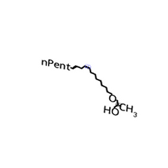 CCCCCC=CC/C=C\CCCCCCCCOC[C@@H](C)CO